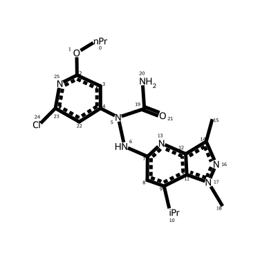 CCCOc1cc(N(Nc2cc(C(C)C)c3c(n2)c(C)nn3C)C(N)=O)cc(Cl)n1